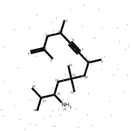 C=C(C)CC(C)C#CC(C)CC(C)(C)CC(N)C(C)C